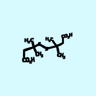 CC(C)(CC(=O)O)SSC(C)(C)CC(=O)O